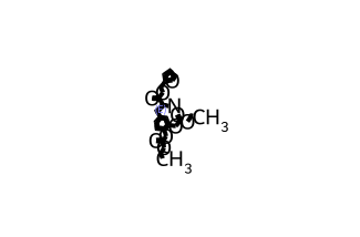 CCOC(=O)Oc1ccc(/C=C(\C#N)C(=O)OCc2ccco2)cc1OC(=O)OCC